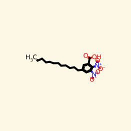 CCCCCCCCCCCCc1cc(C(=O)O)c([N+](=O)[O-])c([N+](=O)[O-])c1